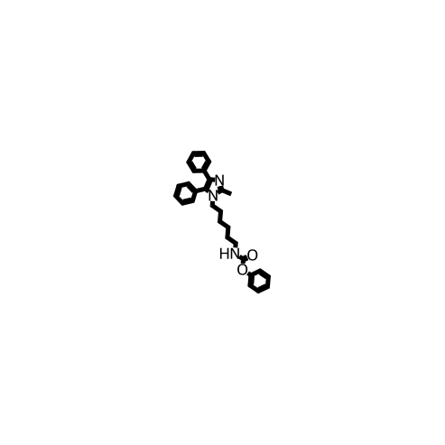 Cc1nc(-c2ccccc2)c(-c2ccccc2)n1CCCCCCNC(=O)Oc1ccccc1